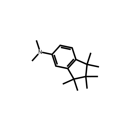 CN(C)c1ccc2c(c1)C(C)(C)C(C)(C)C2(C)C